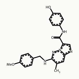 COc1ccc(CNc2nn3c(C(=O)Nc4ccc(O)cc4)cnc3cc2C)cc1